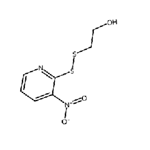 O=[N+]([O-])c1cccnc1SSCCO